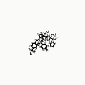 C[C@]1(C(=O)N2CCCC2)CN=C([C@H]2CC3(N(Cc4ccc(C(F)(F)F)cc4)S(=O)(=O)c4ccc(F)cc4)CC2C3)N1